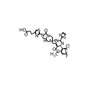 COC(=O)C1=C(CN2CCN3C(=O)N(c4nc(CCC(=O)O)cs4)C[C@@H]3C2)NC(c2nccs2)=N[C@H]1c1ccc(F)cc1Cl